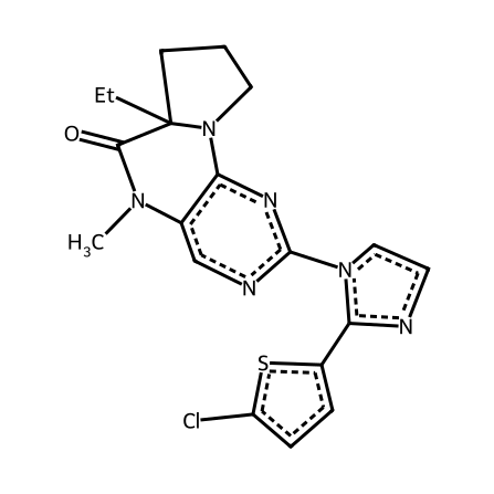 CCC12CCCN1c1nc(-n3ccnc3-c3ccc(Cl)s3)ncc1N(C)C2=O